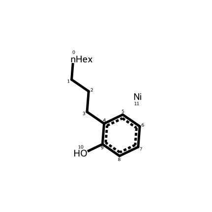 CCCCCCCCCc1ccccc1O.[Ni]